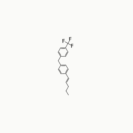 CCC/C=C/c1ccc(Cc2ccc(C(F)(F)F)cc2)cc1